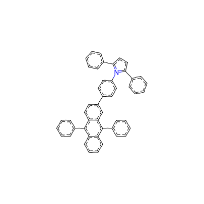 c1ccc(-c2c3ccccc3c(-c3ccccc3)c3cc(-c4ccc(-n5c(-c6ccccc6)ccc5-c5ccccc5)cc4)ccc23)cc1